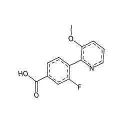 COc1cccnc1-c1ccc(C(=O)O)cc1F